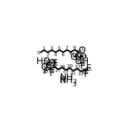 CCCCCCCCCCC(=O)S(=O)(=O)O.N.N.O=S(=O)(O)C(F)(F)C(F)CCCCCCCC(F)(F)F